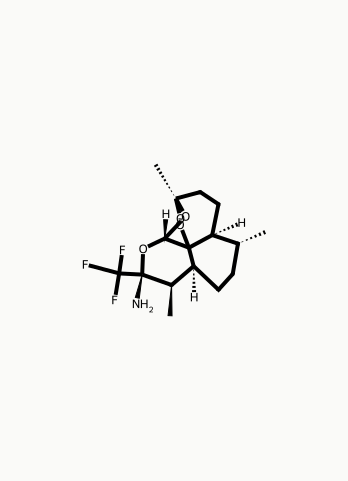 C[C@@H]1CC[C@H]2[C@@H](C)[C@](N)(C(F)(F)F)O[C@@H]3O[C@]4(C)CC[C@@H]1C32OO4